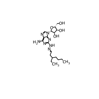 CCCCC(CC)CC=NNc1nc(N)c2ncn([C@@H]3O[C@H](CO)[C@@H](O)[C@H]3O)c2n1